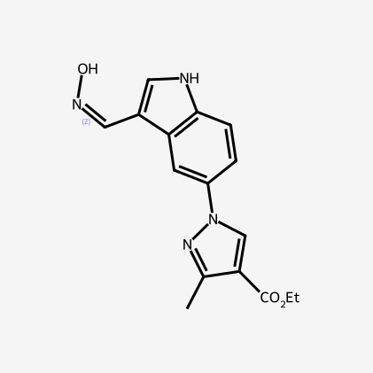 CCOC(=O)c1cn(-c2ccc3[nH]cc(/C=N\O)c3c2)nc1C